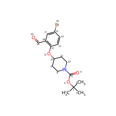 CC(C)(C)OC(=O)N1CCC(Oc2ccc(Br)cc2C=O)CC1